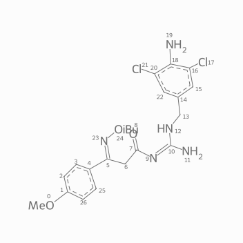 COc1ccc(C(CC(=O)N=C(N)NCc2cc(Cl)c(N)c(Cl)c2)=NOCC(C)C)cc1